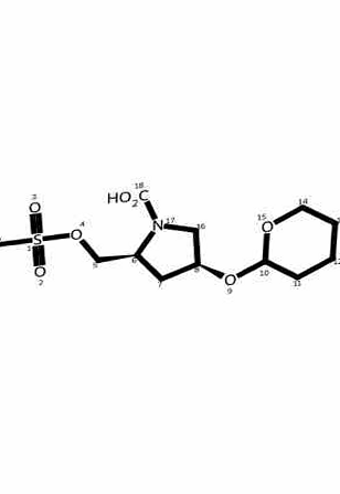 CS(=O)(=O)OC[C@@H]1C[C@H](OC2CCCCO2)CN1C(=O)O